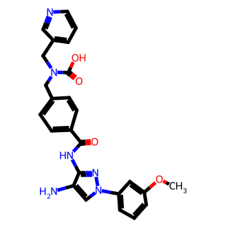 COc1cccc(-n2cc(N)c(NC(=O)c3ccc(CN(Cc4cccnc4)C(=O)O)cc3)n2)c1